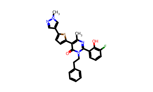 Cc1nc(-c2cccc(F)c2O)n(CCc2ccccc2)c(=O)c1-c1ccc(-c2cnn(C)c2)s1